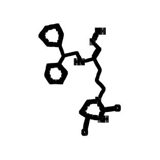 N=N/C=C(/CCCn1ccc(=O)[nH]c1=O)NCC(c1ccccc1)c1ccccc1